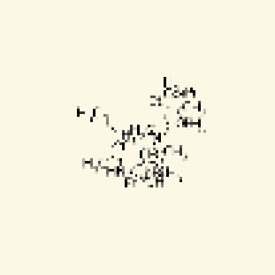 C#C[C@@](CC)(C[C@](C)(CCCC)[C@H](C)[C@H](C)CN(C)C[C@@H](C)C[C@H](CC)C(C)(C=C)C(=C)C(C)C)NC[C@H](C)C[C@H](C)C/C=C/C